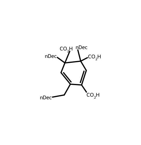 CCCCCCCCCCCC1=CC(CCCCCCCCCC)(C(=O)O)C(CCCCCCCCCC)(C(=O)O)C=C1C(=O)O